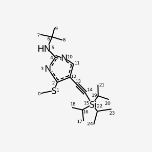 CSc1nc(NC(C)(C)C)ncc1C#C[Si](C(C)C)(C(C)C)C(C)C